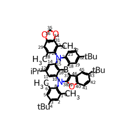 Cc1cc(C(C)(C)C)cc(C)c1N1c2cc(C(C)C)cc3c2B(c2cc(C(C)(C)C)ccc2N3c2c(C)cc3c(c2C)OCO3)c2c1oc1ccc(C(C)(C)C)cc21